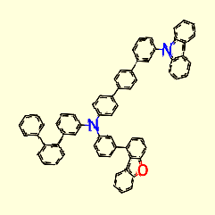 c1ccc(-c2ccccc2-c2cccc(N(c3ccc(-c4ccc(-c5cccc(-n6c7ccccc7c7ccccc76)c5)cc4)cc3)c3cccc(-c4cccc5oc6ccccc6c45)c3)c2)cc1